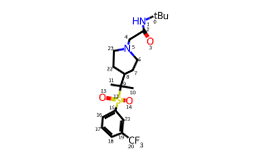 CC(C)(C)NC(=O)CN1CCC(C(C)(C)S(=O)(=O)c2cccc(C(F)(F)F)c2)CC1